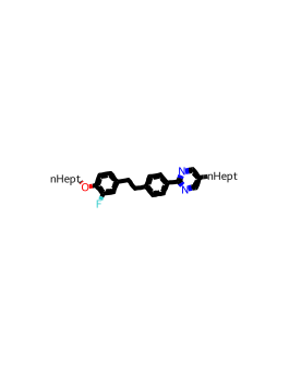 CCCCCCCOc1ccc(CCc2ccc(-c3ncc(CCCCCCC)cn3)cc2)cc1F